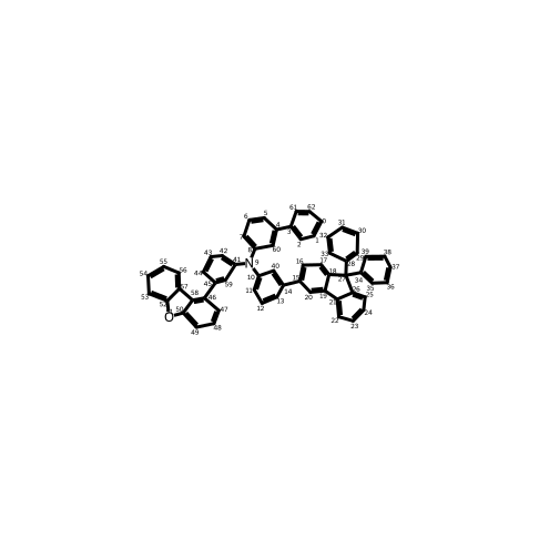 c1ccc(-c2cccc(N(c3cccc(-c4ccc5c(c4)-c4ccccc4C5(c4ccccc4)c4ccccc4)c3)c3cccc(-c4cccc5oc6ccccc6c45)c3)c2)cc1